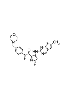 Cc1cc2cnc(Nc3c[nH]nc3C(=O)Nc3ccc(CN4CCOCC4)cc3)nc2s1